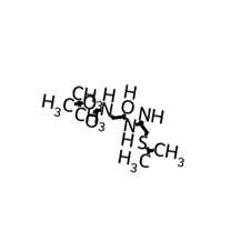 CC(C)SCC(=N)NC(O)CNC(=O)OC(C)(C)C